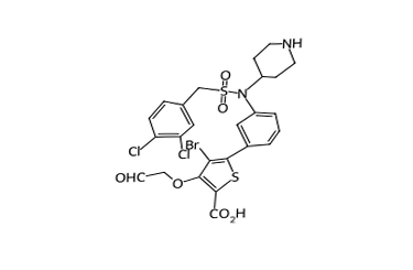 O=CCOc1c(C(=O)O)sc(-c2cccc(N(C3CCNCC3)S(=O)(=O)Cc3ccc(Cl)c(Cl)c3)c2)c1Br